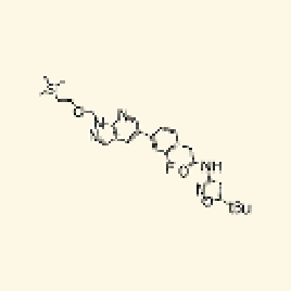 CC(C)(C)c1cc(NC(=O)Cc2ccc(-c3cnc4c(cnn4COCC[Si](C)(C)C)c3)cc2F)no1